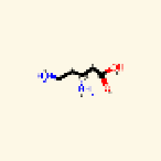 NCC[C@@H](N)CC(=O)O